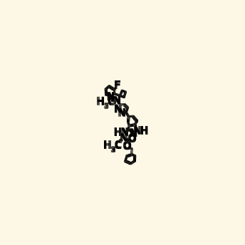 CCN(Nc1n[nH]c2ccc(-c3ccc(N(C)C4(c5ncccc5F)CCC4)nn3)cc12)C(=O)OCc1ccccc1